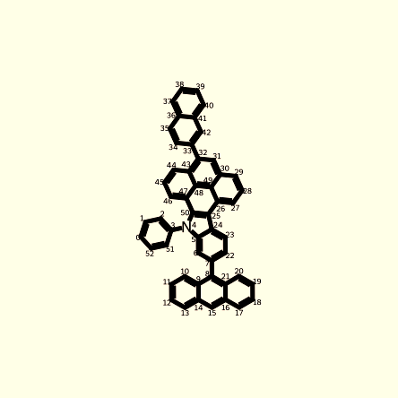 c1ccc(-n2c3cc(-c4c5ccccc5cc5ccccc45)ccc3c3c4cccc5cc(-c6ccc7ccccc7c6)c6cccc(c6c54)c32)cc1